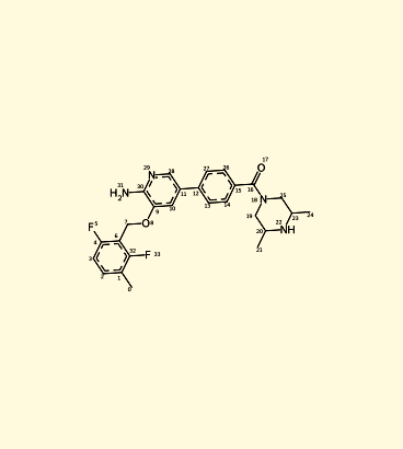 Cc1ccc(F)c(COc2cc(-c3ccc(C(=O)N4CC(C)NC(C)C4)cc3)cnc2N)c1F